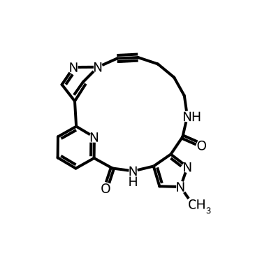 Cn1cc2c(n1)C(=O)NCCCC#Cn1cc(cn1)-c1cccc(n1)C(=O)N2